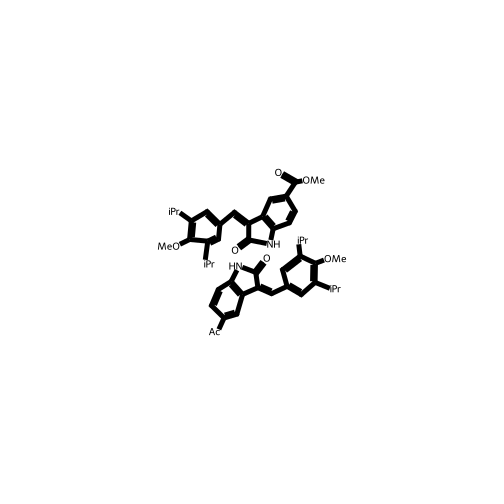 COC(=O)c1ccc2c(c1)/C(=C/c1cc(C(C)C)c(OC)c(C(C)C)c1)C(=O)N2.COc1c(C(C)C)cc(/C=C2\C(=O)Nc3ccc(C(C)=O)cc32)cc1C(C)C